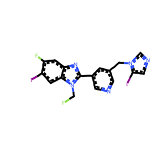 FCn1c(-c2cncc(Cn3cncc3I)c2)nc2cc(F)c(I)cc21